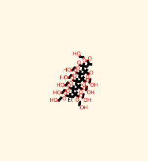 CCC(C)(CC(C)(CC(C)(CC(C)(CC(C)(CC(C)(CC(C)(CC(C)(CC(C)(CC(C)C(=O)OCCO)C(=O)OCCO)C(=O)OCCO)C(=O)OCCO)C(=O)OCCO)C(=O)OCCO)C(=O)OCCO)C(=O)OCCO)C(=O)OCCO)C(=O)OCCO